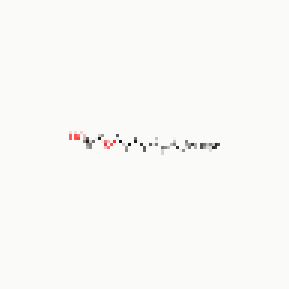 CCCCCCCCCCCCCCCOCCO